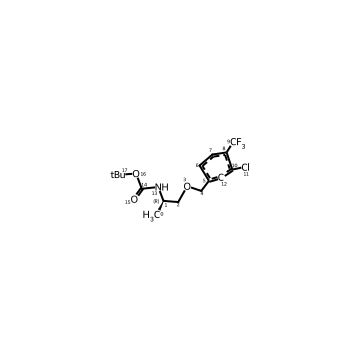 C[C@H](COCc1ccc(C(F)(F)F)c(Cl)c1)NC(=O)OC(C)(C)C